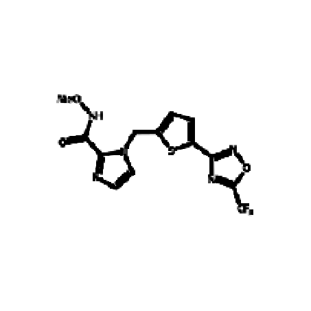 CONC(=O)c1nccn1Cc1ccc(-c2noc(C(F)(F)F)n2)s1